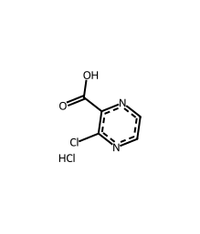 Cl.O=C(O)c1nccnc1Cl